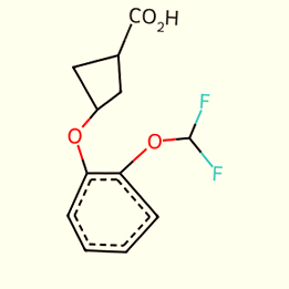 O=C(O)C1CC(Oc2ccccc2OC(F)F)C1